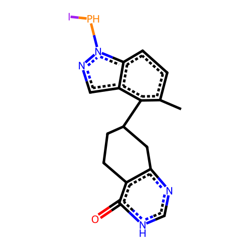 Cc1ccc2c(cnn2PI)c1C1CCc2c(nc[nH]c2=O)C1